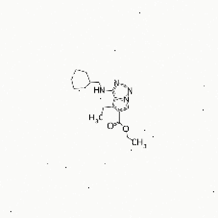 CCOC(=O)c1cn2ncnc(NCC3CCCCC3)c2c1CC